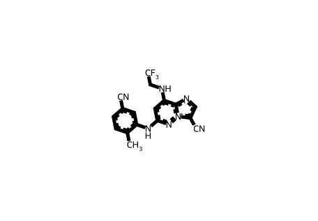 Cc1ccc(C#N)cc1Nc1cc(NCC(F)(F)F)c2ncc(C#N)n2n1